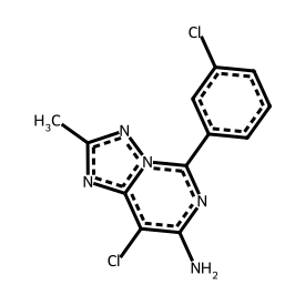 Cc1nc2c(Cl)c(N)nc(-c3cccc(Cl)c3)n2n1